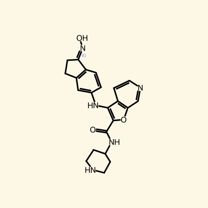 O=C(NC1CCNCC1)c1oc2cnccc2c1Nc1ccc2c(c1)CC/C2=N\O